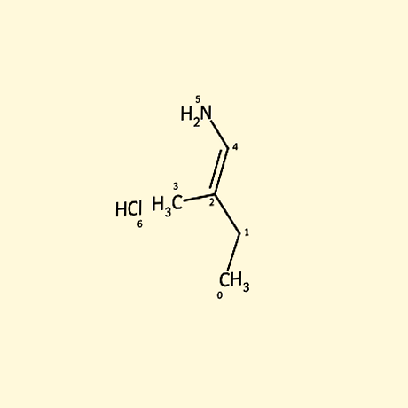 CC/C(C)=C/N.Cl